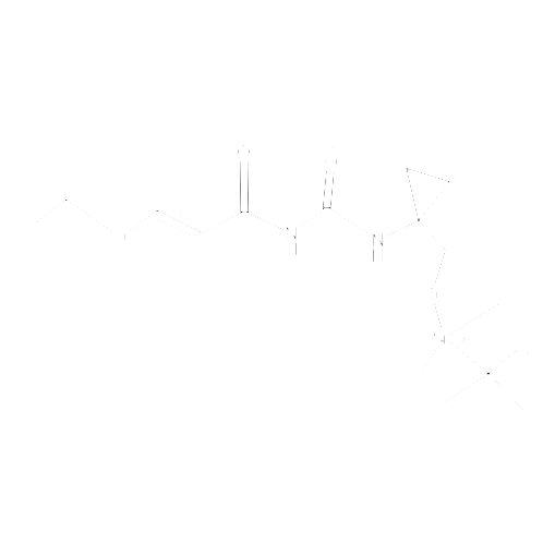 CCO/C=C/C(=O)NC(=O)NC1(CO[Si](C)(C)C(C)(C)C)CC1